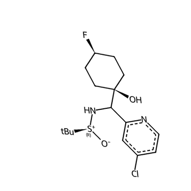 CC(C)(C)[S@+]([O-])NC(c1cc(Cl)ccn1)[C@]1(O)CC[C@@H](F)CC1